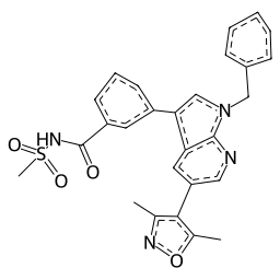 Cc1noc(C)c1-c1cnc2c(c1)c(-c1cccc(C(=O)NS(C)(=O)=O)c1)cn2Cc1ccccc1